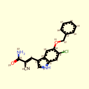 N#C/C(=C\c1c[nH]c2cc(Cl)c(OCc3ccccc3)cc12)C(N)=O